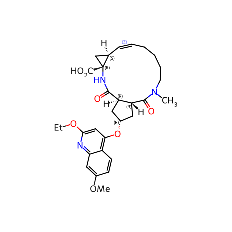 CCOc1cc(O[C@@H]2C[C@H]3C(=O)N[C@]4(C(=O)O)C[C@H]4/C=C\CCCCN(C)C(=O)[C@@H]3C2)c2ccc(OC)cc2n1